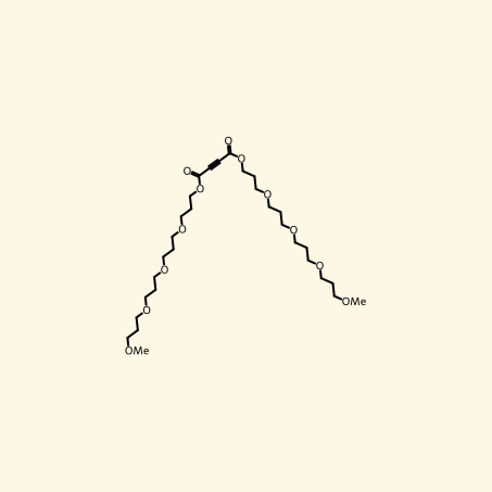 COCCCOCCCOCCCOCCCOC(=O)C#CC(=O)OCCCOCCCOCCCOCCCOC